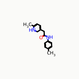 CC1=CC=C(CC(=O)Nc2ccc(C)cc2)CN1